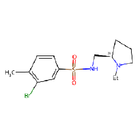 CCN1CCC[C@@H]1CNS(=O)(=O)c1ccc(C)c(Br)c1